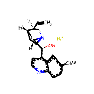 C=C[C@H]1C[N@]2CC[C@H]1C[C@H]2[C@H](O)c1ccnc2ccc(OC)cc12.S